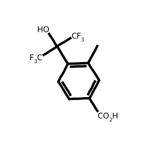 Cc1cc(C(=O)O)ccc1C(O)(C(F)(F)F)C(F)(F)F